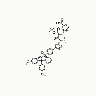 COc1ccc(C(NS(=O)(=O)c2ccc(-c3cn(C(C(=O)N(Cc4cc([N+](=O)[O-])ccn4)C(=O)OC(C)(C)C)C(C)C)nn3)cc2)(c2ccccc2)c2ccc(OC)cc2)cc1